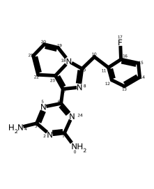 Nc1nc(N)nc(-c2nc(Cc3ccccc3F)n3ccccc23)n1